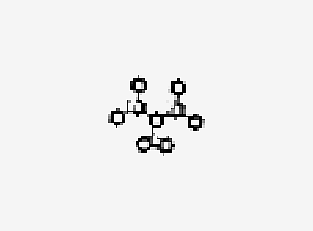 c1ccc(-c2cc(-c3ccccc3)nc(-c3cc(-c4cc(-c5ccccc5)nc(-c5ccccc5)c4)cc(-n4c5ccccc5c5ccccc54)c3)c2)cc1